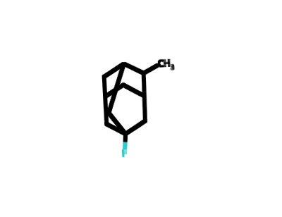 CC1C2CC3CC1CC(F)(C3)C2